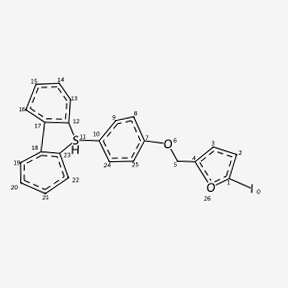 Ic1ccc(COc2ccc([SH]3c4ccccc4-c4ccccc43)cc2)o1